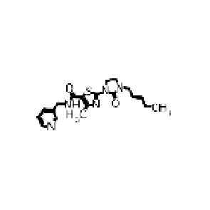 CCCCCN1CCN(c2nc(C)c(C(=O)NCc3cccnc3)s2)C1=O